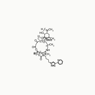 CC[C@H]1OC(=O)CC(=O)[C@H](C)[C@@H](O[C@@H]2O[C@H](C)CC(N(C)C)C2O)[C@](C)(OC)C[C@@H](C)CN[C@H](C)[C@H]2N(CCCCn3cc(-c4ccccn4)nn3)C(=O)O[C@]12C